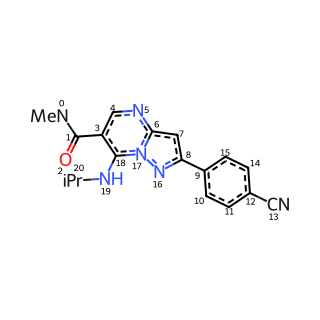 CNC(=O)c1cnc2cc(-c3ccc(C#N)cc3)nn2c1NC(C)C